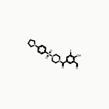 O=Cc1cc(C(=O)N2CCN(S(=O)(=O)c3ccc(N4CCCC4)cc3)CC2)cc(F)c1O